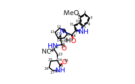 COc1cccc2[nH]c(C(=O)N3C4CCC(CC4)[C@@H]3C(=O)N[C@H](C#N)C[C@@H]3CCCNC3=O)cc12